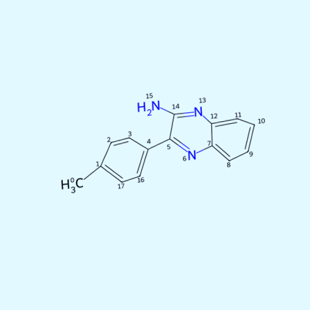 Cc1ccc(-c2nc3ccccc3nc2N)cc1